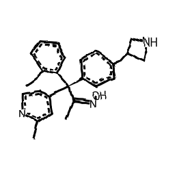 C/C(=N/O)[C@](c1ccc(C2CNC2)cc1)(c1ccnc(C)c1)c1ccccc1C